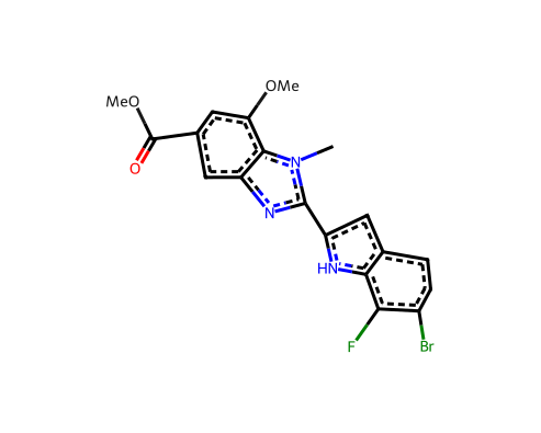 COC(=O)c1cc(OC)c2c(c1)nc(-c1cc3ccc(Br)c(F)c3[nH]1)n2C